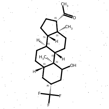 CC(=O)[C@H]1CC[C@H]2[C@@H]3CC[C@H]4C[C@@H](C(F)(F)F)CC(O)[C@]4(C)[C@H]3CC[C@]12C